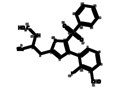 CC(C)(C)C(Cc1cc(-c2cccc(C=O)c2F)c(S(=O)(=O)c2ccccc2)s1)NC(=O)O